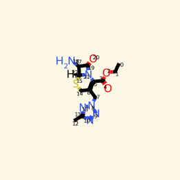 CCOC(=O)C1=C(Cn2nnc(C)n2)CS[C@@H]2C(N)C(=O)N12